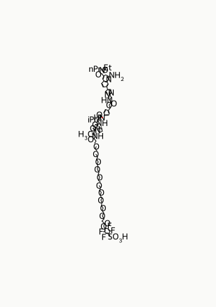 CCCN(OCC)C(=O)C1=Cc2ccc(-c3cnc(CNC(=O)OCc4ccc(NC(=O)[C@@H](NC(=O)[C@@H]5CCCN5C(=O)[C@H](C)NC(=O)CCOCCOCCOCCOCCOCCOCCOCCOCCOCCOCCC(=O)Oc5c(F)c(F)c(S(=O)(=O)O)c(F)c5F)C(C)C)cc4)nc3)cc2N=C(N)C1